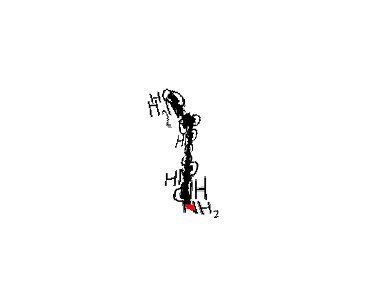 NCCC(=O)NCCNC(=O)CCOCCOCCNC(=O)CCN1C(=O)CC(SCC(N)C(=O)O)C1=O